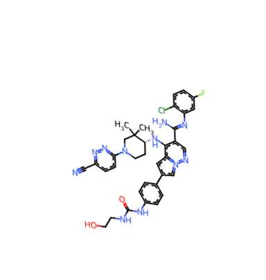 CC1(C)CN(c2ccc(C#N)nn2)CC[C@H]1Nc1c(/C(N)=N/c2cc(F)ccc2Cl)cnn2cc(-c3ccc(NC(=O)NCCO)cc3)cc12